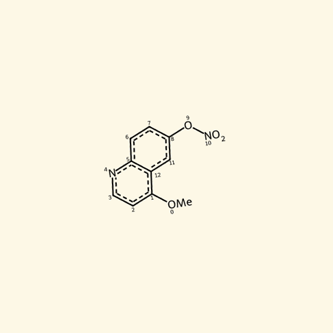 COc1ccnc2ccc(O[N+](=O)[O-])cc12